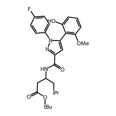 COc1cccc(O)c1-c1cc(C(=O)NC(CC(=O)OC(C)(C)C)CC(C)C)nn1-c1ccc(F)cc1